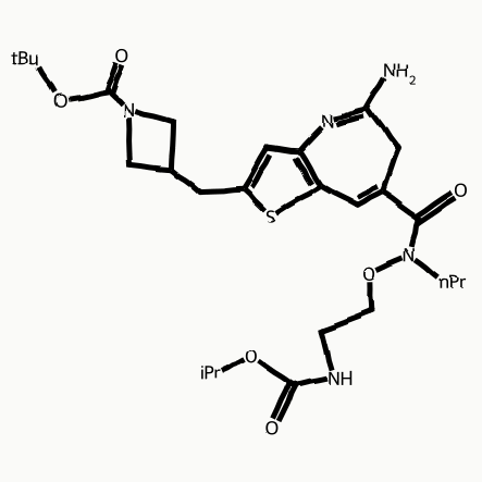 CCCN(OCCNC(=O)OC(C)C)C(=O)C1=Cc2sc(CC3CN(C(=O)OC(C)(C)C)C3)cc2N=C(N)C1